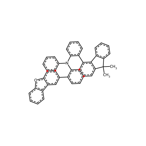 CC1(C)c2ccccc2-c2c(-c3ccccc3N(c3ccccc3)c3ccccc3-c3ccc4oc5ccccc5c4c3)cccc21